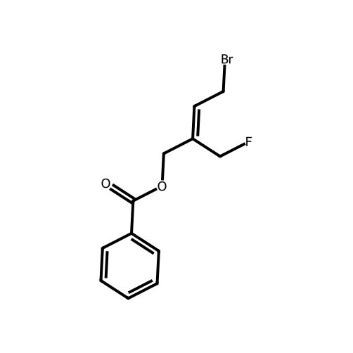 O=C(OC/C(=C/CBr)CF)c1ccccc1